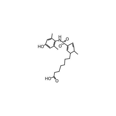 Cc1cc(O)cc(C)c1NS(=O)(=O)C1=CC(CCCCCCC(=O)O)C(C)C=C1